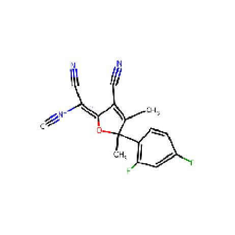 [C-]#[N+]/C(C#N)=C1\OC(C)(c2ccc(F)cc2F)C(C)=C1C#N